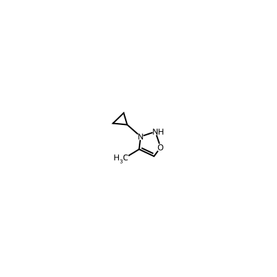 CC1=CONN1C1CC1